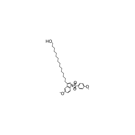 COc1ccc(S(=O)(=O)n2cc(CCCCCCCCCCCCCCCCO)c3cc(OC)ccc32)cc1